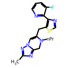 CCCN1Cc2nc(C)nn2C=C1Cc1scnc1-c1ncccc1F